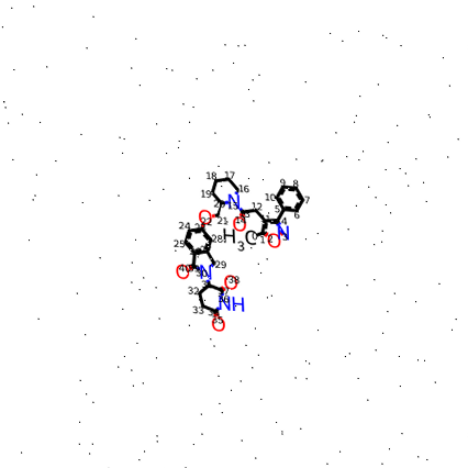 Cc1onc(-c2ccccc2)c1CC(=O)N1CCCC[C@@H]1COc1ccc2c(c1)CN(C1CCC(=O)NC1=O)C2=O